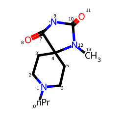 CCCN1CCC2(CC1)C(=O)[N]C(=O)N2C